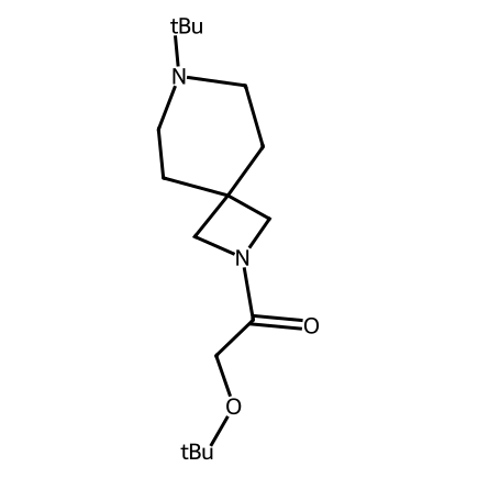 CC(C)(C)OCC(=O)N1CC2(CCN(C(C)(C)C)CC2)C1